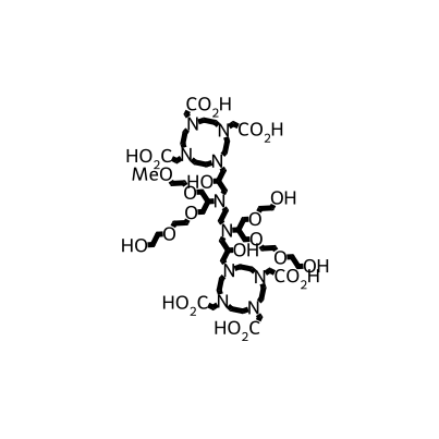 COCCOCC(COCCOCCO)N(CCN(CC(O)CN1CCN(CC(=O)O)CCN(CC(=O)O)CCN(CC(=O)O)CC1)C(COCCO)COCCOCCO)CC(O)CN1CCN(CC(=O)O)CCN(CC(=O)O)CCN(CC(=O)O)CC1